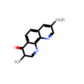 CCOC(=O)c1cnc2c3c(ccc2c1)C(=O)C([N+](=O)[O-])C=N3